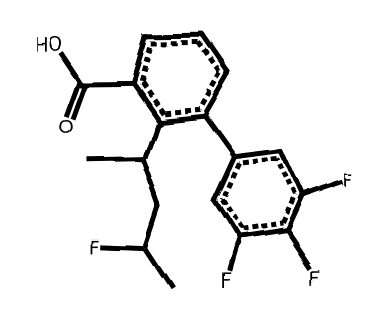 CC(F)CC(C)c1c(C(=O)O)cccc1-c1cc(F)c(F)c(F)c1